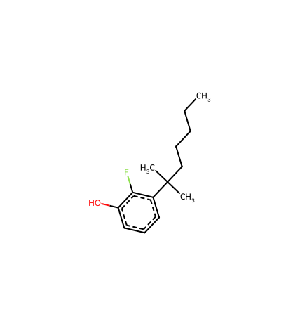 CCCCCC(C)(C)c1cccc(O)c1F